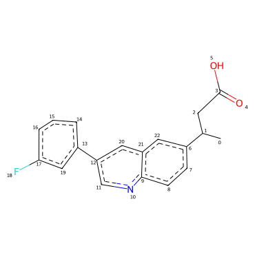 CC(CC(=O)O)c1ccc2ncc(-c3cccc(F)c3)cc2c1